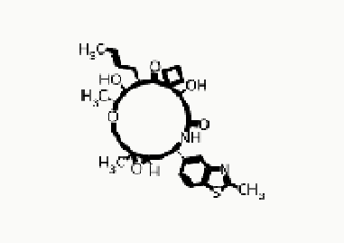 CC=CC[C@H]1C(=O)C2(CCC2)[C@@H](O)CC(=O)N[C@H](c2ccc3sc(C)nc3c2)C[C@@H]2O[C@]2(C)CCO[C@H](C)[C@H]1O